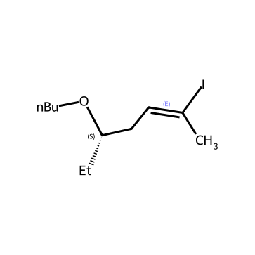 CCCCO[C@@H](CC)C/C=C(\C)I